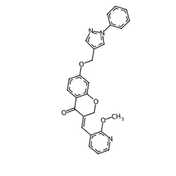 COc1ncccc1/C=C1\COc2cc(OCc3cnn(-c4ccccc4)c3)ccc2C1=O